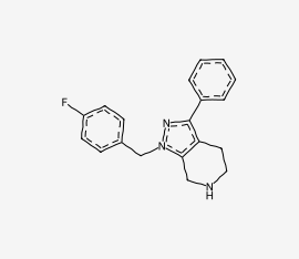 Fc1ccc(Cn2nc(-c3ccccc3)c3c2CNCC3)cc1